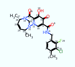 Cc1ccc(CNC(=O)c2cn3c(c(O)c2=O)C(=O)N2CN3[C@H](C)C=C[C@@H]2C)c(F)c1Cl